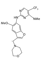 CNc1nc(Nc2cc3occ([C]N4CCOCC4)c3cc2OC)ncc1C(F)(F)F